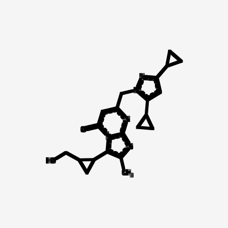 Cc1sc2nc(Cn3nc(C4CC4)cc3C3CC3)cc(=O)n2c1C1CC1CO